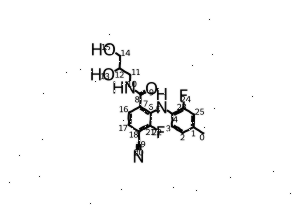 Cc1ccc(Nc2c(C(=O)NCC(O)CO)ccc(C#N)c2F)c(F)c1